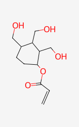 C=CC(=O)OC1CCC(CO)C(CO)C1CO